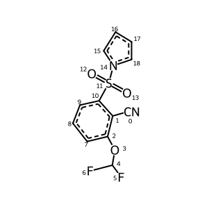 N#Cc1c(OC(F)F)cccc1S(=O)(=O)n1cccc1